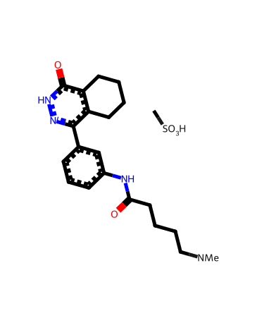 CNCCCCC(=O)Nc1cccc(-c2n[nH]c(=O)c3c2CCCC3)c1.CS(=O)(=O)O